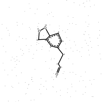 O=CCCc1ccc2c(c1)COO2